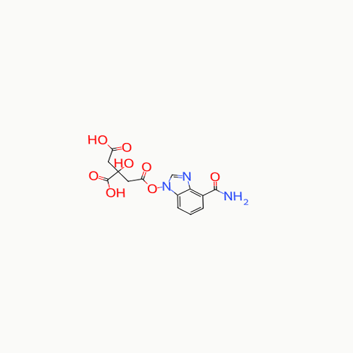 NC(=O)c1cccc2c1ncn2OC(=O)CC(O)(CC(=O)O)C(=O)O